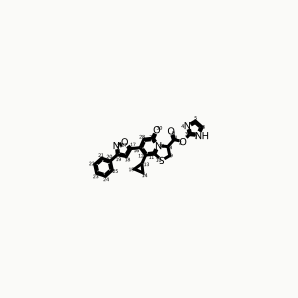 O=C(Oc1ncc[nH]1)C1CSc2c(C3CC3)c(-c3cc(-c4ccccc4)no3)cc(=O)n21